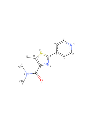 CCCN(CCC)C(=O)c1nc(-c2ccncc2)sc1C